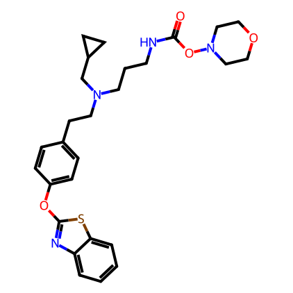 O=C(NCCCN(CCc1ccc(Oc2nc3ccccc3s2)cc1)CC1CC1)ON1CCOCC1